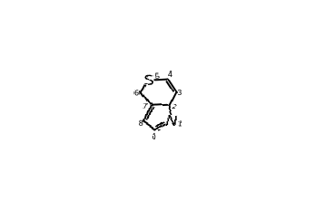 [C]1=NC2C=CSCC2=C1